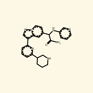 NC(=O)C(Nc1cccnc1)c1ccn2ncc(-c3cccc(C4CCCNC4)n3)c2c1